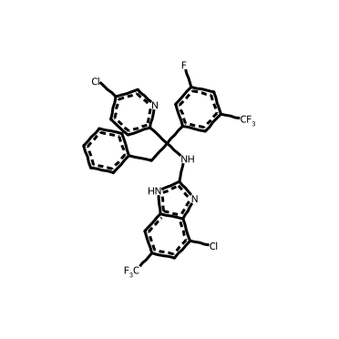 Fc1cc(C(F)(F)F)cc(C(Cc2ccccc2)(Nc2nc3c(Cl)cc(C(F)(F)F)cc3[nH]2)c2ccc(Cl)cn2)c1